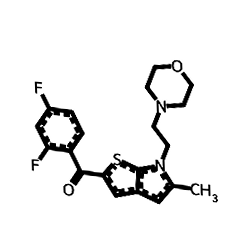 Cc1cc2cc(C(=O)c3ccc(F)cc3F)sc2n1CCN1CCOCC1